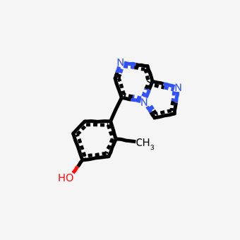 Cc1cc(O)ccc1-c1cncc2nccn12